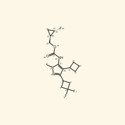 Cn1nc(C2CC(F)(F)C2)c(C2CCC2)c1NC(=O)OC[C@H]1C[C@@H]1F